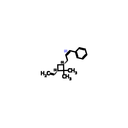 C=C[C@@H]1C[C@H](C/C=C\c2ccccc2)C1(C)C